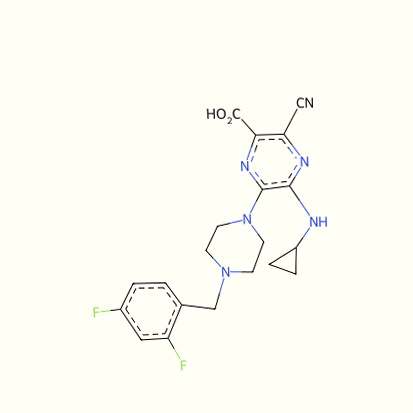 N#Cc1nc(NC2CC2)c(N2CCN(Cc3ccc(F)cc3F)CC2)nc1C(=O)O